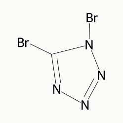 Brc1nnnn1Br